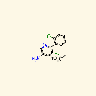 CC(=O)O.Nc1cnc(-c2ccccc2F)c(F)c1